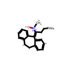 CNCCC(=C1c2ccccc2CCc2ccccc21)[NH+](C)[O-]